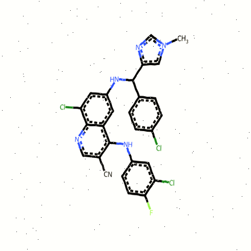 Cn1cnc(C(Nc2cc(Cl)c3ncc(C#N)c(Nc4ccc(F)c(Cl)c4)c3c2)c2ccc(Cl)cc2)c1